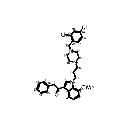 COc1cccc2c(C(=O)Cc3ccccc3)cn(CCCN3CCN(Cc4ccc(Cl)cc4Cl)CC3)c12